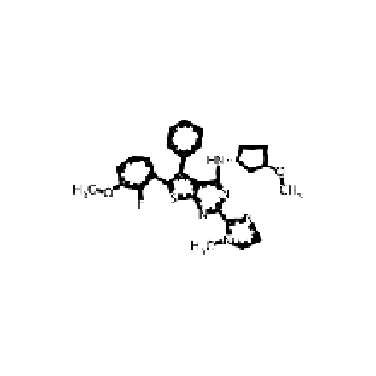 COc1cccc(-c2sc3nc(-c4nccn4C)nc(N[C@@H]4CC[C@@H](OC)C4)c3c2-c2ccccc2)c1F